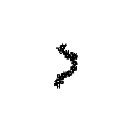 COc1ccc(F)cc1C(=O)NCc1ccc(-c2nn([C@@H]3CCN(c4ccc(CN5CCN(c6ccc7c(c6)CN([C@H]6CCC(=O)NC6=O)C7=O)CC5)cn4)C3)c3ncnc(N)c23)cc1